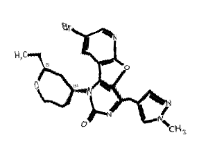 CC[C@H]1C[C@@H](n2c(=O)nc(-c3cnn(C)c3)c3oc4ncc(Br)cc4c32)CCO1